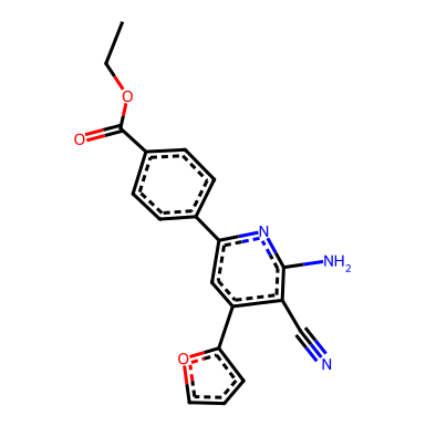 CCOC(=O)c1ccc(-c2cc(-c3ccco3)c(C#N)c(N)n2)cc1